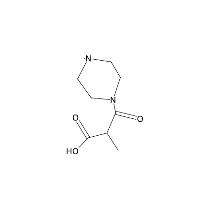 CC(C(=O)O)C(=O)N1CC[N]CC1